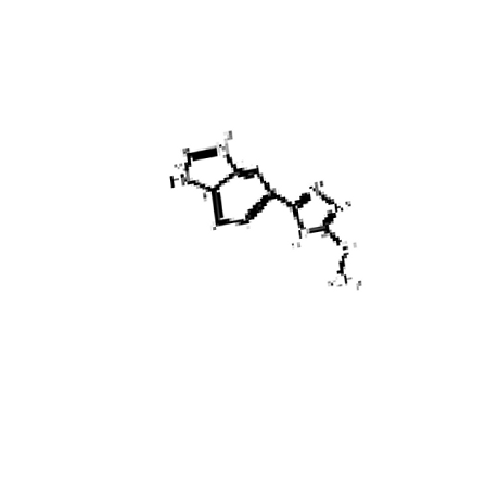 CSc1nnc(-c2ccc3[nH]cnc3c2)o1